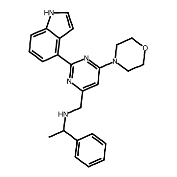 CC(NCc1cc(N2CCOCC2)nc(-c2cccc3[nH]ccc23)n1)c1ccccc1